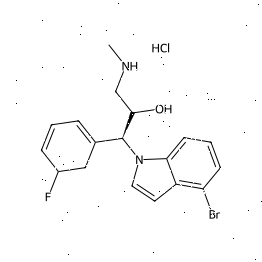 CNCC(O)[C@H](C1=CC=CC(F)C1)n1ccc2c(Br)cccc21.Cl